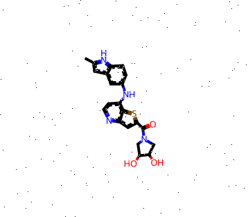 Cc1cc2cc(Nc3ccnc4cc(C(=O)N5CC(O)C(O)C5)sc34)ccc2[nH]1